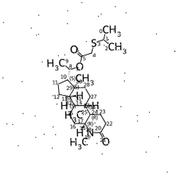 CC(C)SCC(=O)OC(C)[C@H]1CC[C@H]2[C@@H]3CC[C@H]4N(C)C(=O)CC[C@]4(C)[C@H]3CC[C@]12C